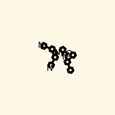 O=C1c2cccc(-n3c4ccc(-c5ccncc5)cc4c4cc(-c5ccncc5)ccc43)c2CN1c1ccc(-c2ccccc2)cc1-c1ccccc1